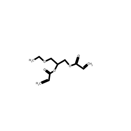 C=CC(=O)OCC(COCC)OC(=O)C=C